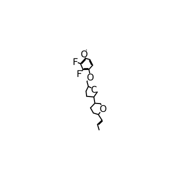 C/C=C/C1CCC(C2CCC(COc3ccc(OC)c(F)c3F)CC2)CO1